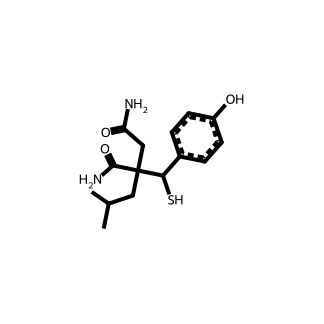 CC(C)CC(CC(N)=O)(C(N)=O)C(S)c1ccc(O)cc1